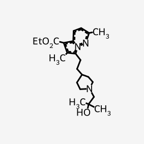 CCOC(=O)c1c(C)c(CCC2CCN(CC(C)(C)O)CC2)n2nc(C)ccc12